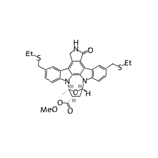 CCSCc1ccc2c(c1)c1c3c(c4c5cc(CSCC)ccc5n5c4c1n2[C@@H]1C[C@H](C(=O)OOC)[C@]5(C)O1)CNC3=O